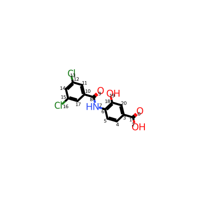 O=C(O)c1ccc(NC(=O)c2cc(Cl)cc(Cl)c2)c(O)c1